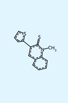 Cn1c(=S)c(-c2cccs2)cc2ccccc21